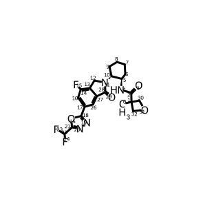 CC1(C(=O)N[C@@H]2CCCC[C@H]2N2Cc3c(F)cc(-c4nnc(C(F)F)o4)cc3C2=O)COC1